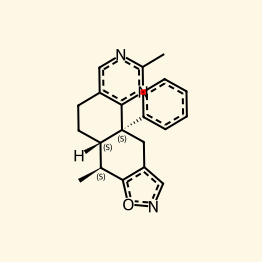 Cc1ncc2c(n1)[C@@]1(c3ccccc3)Cc3cnoc3[C@@H](C)[C@@H]1CC2